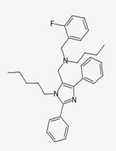 CCCCCn1c(-c2ccccc2)nc(-c2ccccc2)c1CN(CCCC)Cc1ccccc1F